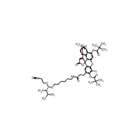 [C-]#[N+]CCOP(OCCCCCCNC(=O)CCc1cc2c(c(Cl)c1OC(=O)C(C)(C)C)Oc1cc(OC(=O)C(C)(C)C)c3ccccc3c1C21OC(=O)c2ccc([PH](C)=O)cc21)N(C)C(C)C